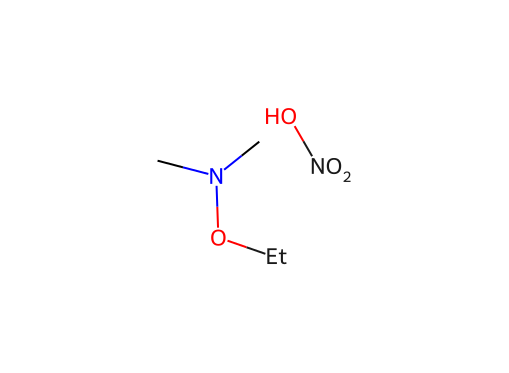 CCON(C)C.O=[N+]([O-])O